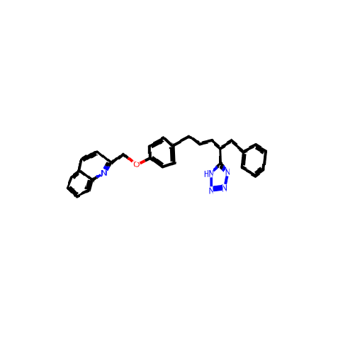 c1ccc(CC(CCCc2ccc(OCc3ccc4ccccc4n3)cc2)c2nnn[nH]2)cc1